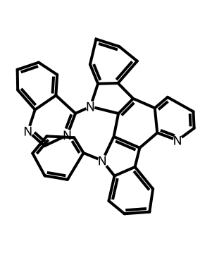 c1ccc(-n2c3ccccc3c3c4ncccc4c4c5ccccc5n(-c5ncnc6ccccc56)c4c32)cc1